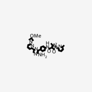 COC1CN(c2cccc(-c3cnc(N)c(-c4ccc(NC(=O)c5c(C)n(C)n(-c6cccc(C)n6)c5=O)cc4)n3)n2)C1